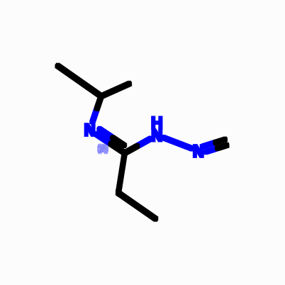 C=NN/C(CC)=N\C(C)C